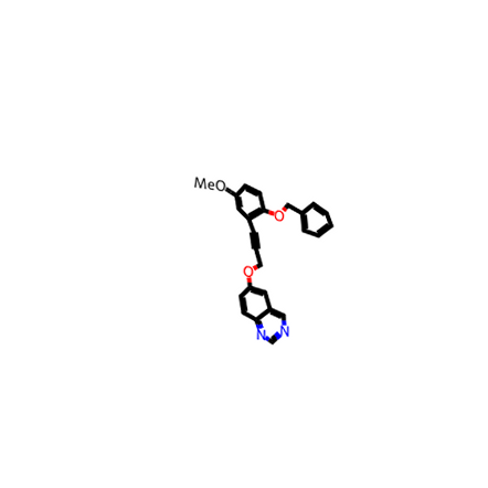 COc1ccc(OCc2ccccc2)c(C#CCOc2ccc3ncncc3c2)c1